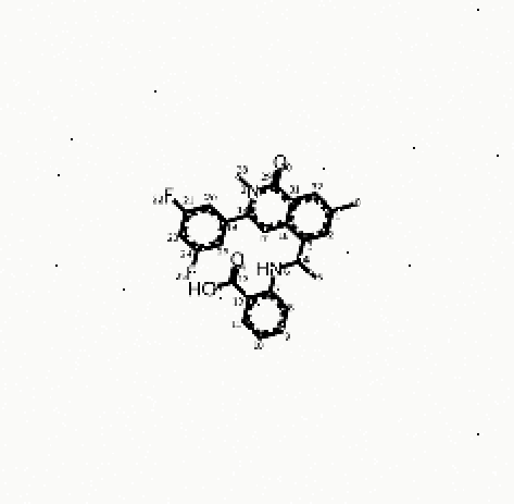 Cc1cc(C(C)Nc2ccccc2C(=O)O)c2cc(-c3cc(F)cc(F)c3)n(C)c(=O)c2c1